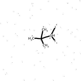 CC(C)(C)[SiH](I)I